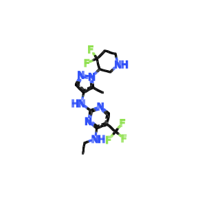 CCNc1nc(Nc2cnn(C3CNCCC3(F)F)c2C)ncc1C(F)(F)F